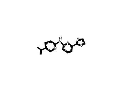 C=C(C)c1ccc(Nc2cccc(-c3nccs3)n2)nc1